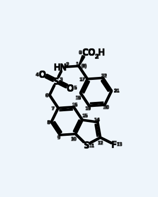 O=C(O)[C@H](NS(=O)(=O)Cc1ccc2sc(F)cc2c1)c1ccccc1